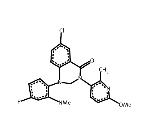 CNc1cc(F)ccc1N1CN(c2ccc(OC)nc2C)C(=O)c2cc(Cl)ccc21